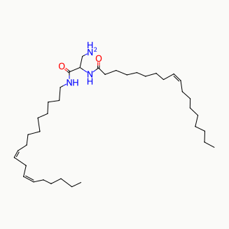 CCCCC/C=C\C/C=C\CCCCCCCCNC(=O)C(CN)NC(=O)CCCCCCC/C=C\CCCCCCCC